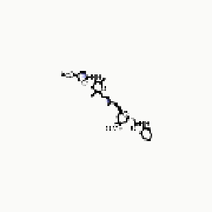 COC1(C)CC(=C=C/C(C)=C/CC2OC(C)C(NC(=O)/C=C\C(C)OC(C)=O)CC2C)O[C@H](CC(=O)NC2CCCCC2)C1